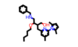 CCCCCOC(CNCc1ccccc1)C(CO)Cc1cc(C)cc(-n2c(C)ccc2C)n1